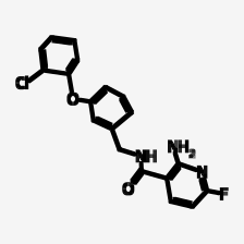 Nc1nc(F)ccc1C(=O)NCc1cccc(Oc2ccccc2Cl)c1